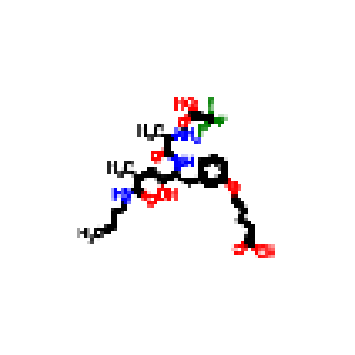 CCCCNC(=O)[C@H](C)C[C@H](O)[C@H](Cc1cccc(OCCCCC(=O)O)c1)NC(=O)[C@H](C)N.O=C(O)C(F)(F)F